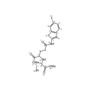 COC(=O)C(CCC(=O)Nc1nc2ccc(F)cc2s1)N[C@@H](CC(C)C)C(=O)OC